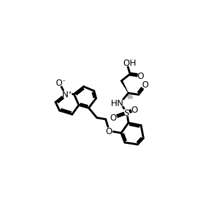 O=C[C@H](CC(=O)O)NS(=O)(=O)c1ccccc1OCCc1cccc2c1ccc[n+]2[O-]